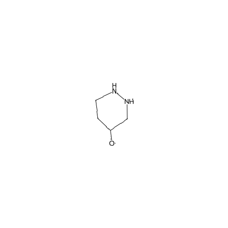 [O]C1CCNNC1